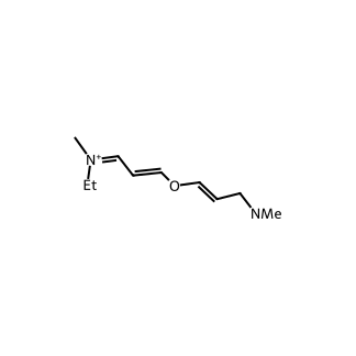 CC/[N+](C)=C\C=C\O/C=C/CNC